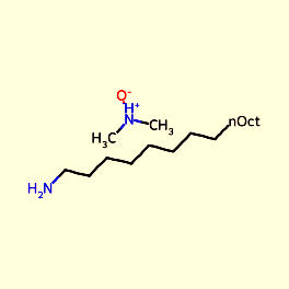 CCCCCCCCCCCCCCCCN.C[NH+](C)[O-]